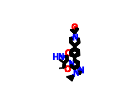 C[C@@H](Oc1nc(-c2ccc(C3CCN(C4COC4)CC3)cc2)cc2ncn(C3CC3)c12)[C@H]1CNC(=O)C1